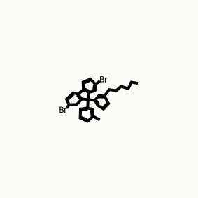 CCCCCCc1cccc(C2(c3cccc(C)c3)C3=C(C=CC(Br)C3)c3ccc(Br)cc32)c1